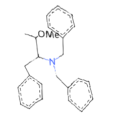 COC(C)C(Cc1ccccc1)N(Cc1ccccc1)Cc1ccccc1